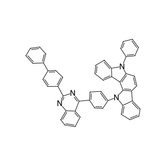 c1ccc(-c2ccc(-c3nc(-c4ccc(-n5c6ccccc6c6ccc7c(c8ccccc8n7-c7ccccc7)c65)cc4)c4ccccc4n3)cc2)cc1